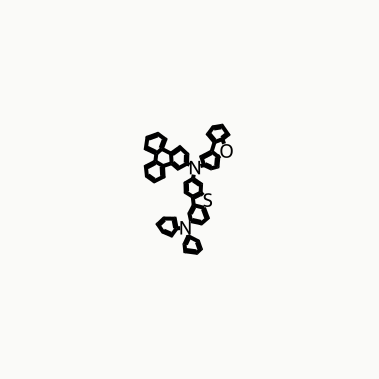 c1ccc(N(c2ccccc2)c2ccc3sc4cc(N(c5ccc6oc7ccccc7c6c5)c5ccc6c7ccccc7c7ccccc7c6c5)ccc4c3c2)cc1